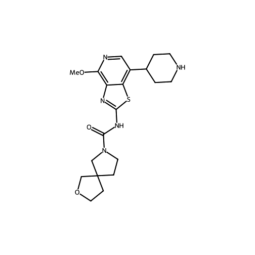 COc1ncc(C2CCNCC2)c2sc(NC(=O)N3CCC4(CCOC4)C3)nc12